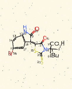 CCC(C)C(C)(C(=O)O)N1C(=O)C(=C2C(=O)Nc3ccc(Br)cc32)SC1=S